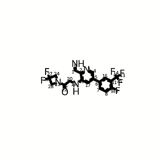 N=Cc1ncc(-c2ccc(F)c(C(F)(F)F)c2)cc1NCC(=O)N1CC(F)(F)C1